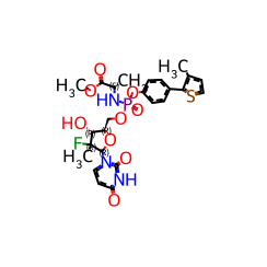 COC(=O)[C@H](C)NP(=O)(OC[C@H]1O[C@@H](n2ccc(=O)[nH]c2=O)[C@](C)(F)[C@@H]1O)Oc1ccc(-c2sccc2C)cc1